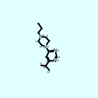 CCCN1CCN(c2cc(C(C)C)ncn2)CC1